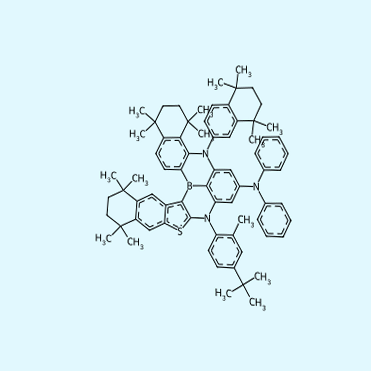 Cc1cc(C(C)(C)C)ccc1N1c2cc(N(c3ccccc3)c3ccccc3)cc3c2B(c2ccc4c(c2N3c2ccc3c(c2)C(C)(C)CCC3(C)C)C(C)(C)CCC4(C)C)c2c1sc1cc3c(cc21)C(C)(C)CCC3(C)C